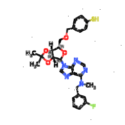 CN(Cc1cccc(F)c1)c1ncnc2c1ncn2[C@@H]1O[C@H](COCc2ccc(S)cc2)[C@H]2OC(C)(C)O[C@H]21